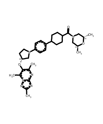 Cc1nc2nc(C)c(O[C@@H]3CCN(c4ccc(C5CCC(C(=O)N6C[C@H](C)O[C@@H](C)C6)CC5)cc4)C3)c(C)n2n1